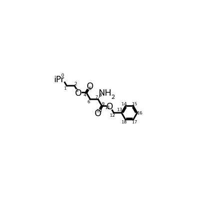 CC(C)CCOC(=O)C[C@H](N)C(=O)OCc1ccccc1